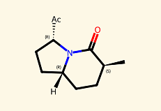 CC(=O)[C@H]1CC[C@H]2CC[C@H](C)C(=O)N21